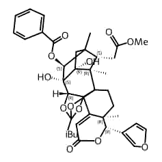 CCC(C)C12O[C@H]3C4(O1)C1=CC(=O)O[C@@H](c5ccoc5)[C@]1(C)CCC4(O2)[C@]1(C)[C@@H](CC(=O)OC)C2(C)C[C@]1(O)[C@]3(O)[C@H]2OC(=O)c1ccccc1